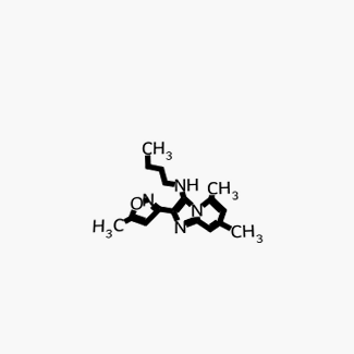 CCCCNc1c(-c2cc(C)on2)nc2cc(C)cc(C)n12